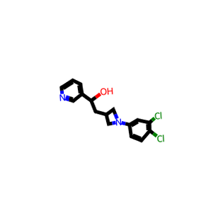 OC(CC1CN(c2ccc(Cl)c(Cl)c2)C1)c1cccnc1